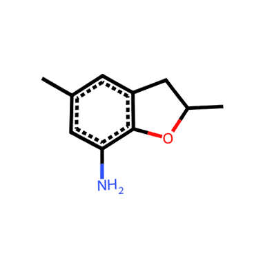 Cc1cc(N)c2c(c1)CC(C)O2